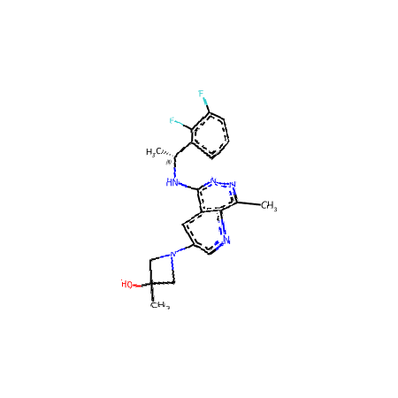 Cc1nnc(N[C@H](C)c2cccc(F)c2F)c2cc(N3CC(C)(O)C3)cnc12